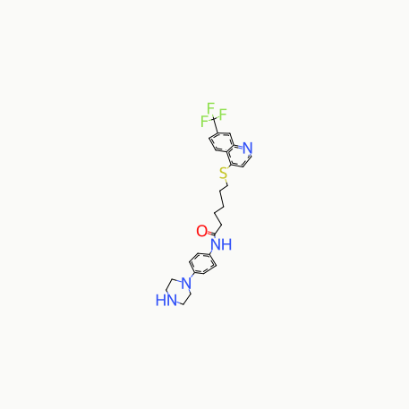 O=C(CCCCCSc1ccnc2cc(C(F)(F)F)ccc12)Nc1ccc(N2CCNCC2)cc1